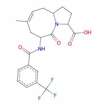 CC1=CCC2CCC(C(=O)O)N2C(=O)C(NC(=O)c2cccc(C(F)(F)F)c2)C1